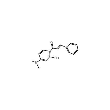 CN(C)c1ccc(C(=O)C=Cc2ccccc2)c(O)c1